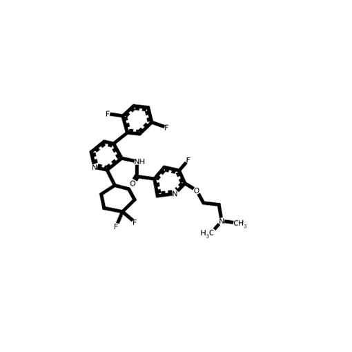 CN(C)CCOc1ncc(C(=O)Nc2c(-c3cc(F)ccc3F)ccnc2C2CCC(F)(F)CC2)cc1F